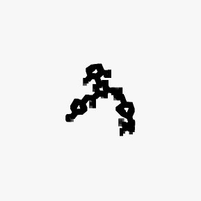 Fc1cccc(Cl)c1-c1nc(NCc2ccc(Cl)cc2)nc(N/N=C/c2ccc(OC(F)(F)F)cc2)n1